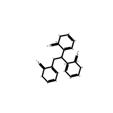 S=C1CC=CC=C1CC(C1=CC=CCC1=S)C1=CC=CCC1=S